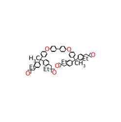 CCC1(Cc2ccc(C(C)(c3ccc(CC4(CC)COC4)cc3)c3ccc(Oc4ccc(-c5ccc(Oc6ccc(C(C)(c7ccc(CC8(CC)COC8)cc7)c7ccc(CC8(CC)COC8)cc7)cc6)cc5)cc4)cc3)cc2)COC1